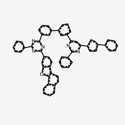 c1ccc(-c2ccc(-c3cc(-c4cccc(-c5cccc(-c6nc(-c7ccccc7)nc(-c7ccc8c(c7)oc7c9ccccc9ccc87)n6)c5)c4)nc(-c4ccccc4)n3)cc2)cc1